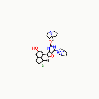 CCc1c(F)ccc2cc(O)cc(-c3coc4c(N5CC6CCC(C5)N6)nc(OCC56CCCN5CCC6)nc34)c12